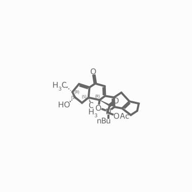 CCCCN1O[C@@]2(C(=O)COC(C)=O)C(=CC(=O)C3=C[C@@H](C)[C@@H](O)C[C@@]32C)C2=C1C1=C(CCC1)C2